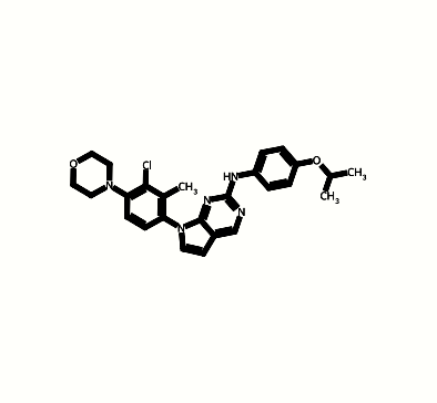 Cc1c(-n2ccc3cnc(Nc4ccc(OC(C)C)cc4)nc32)ccc(N2CCOCC2)c1Cl